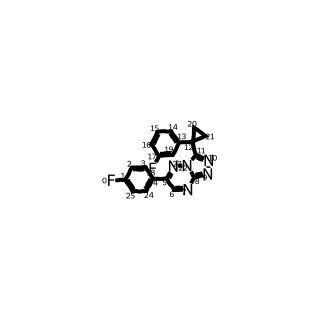 Fc1ccc(-c2cnc3nnc(C4(c5cccc(F)c5)CC4)n3n2)cc1